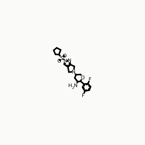 N[C@H]1CC(N2Cc3cn(S(=O)(=O)C4CCCC4)nc3C2)COC1c1cc(F)ccc1F